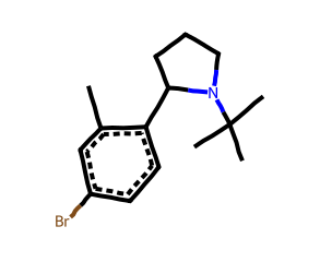 Cc1cc(Br)ccc1C1CCCN1C(C)(C)C